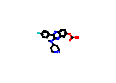 CN(c1nc2cc(OC(=O)O)ccc2nc1-c1ccc(F)cc1)C1CCNCC1